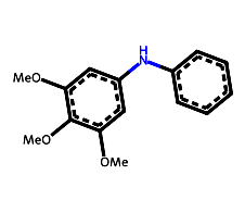 COc1cc(Nc2ccccc2)cc(OC)c1OC